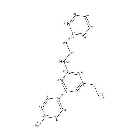 NCc1cc(-c2ccc(Br)cc2)nc(NCCc2ccccn2)n1